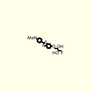 CNc1ccc(-c2nc3ccc(OCC(O)C(O)CF)cc3s2)cc1